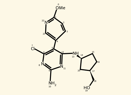 COc1ccc(-c2c(Cl)nc(N)nc2N[C@H]2CC[C@@H](CO)C2)cn1